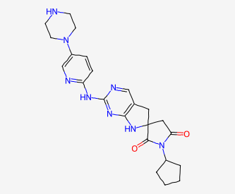 O=C1CC2(Cc3cnc(Nc4ccc(N5CCNCC5)cn4)nc3N2)C(=O)N1C1CCCC1